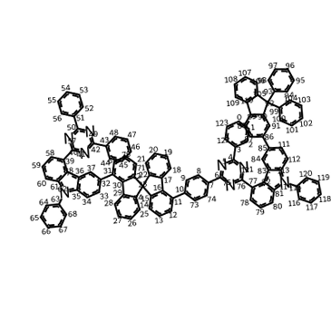 c1ccc(-c2nc(-c3ccc(-c4cccc5c4-c4ccccc4C54c5ccccc5-c5c(-c6ccc7c(c6)c6c(-c8nc(-c9ccccc9)nc(-c9ccccc9)n8)cccc6n7-c6ccccc6)cccc54)cc3)nc(-c3cccc4c3c3cc(-c5ccc6c(c5)C(c5ccccc5)(c5ccccc5)c5ccccc5-6)ccc3n4-c3ccccc3)n2)cc1